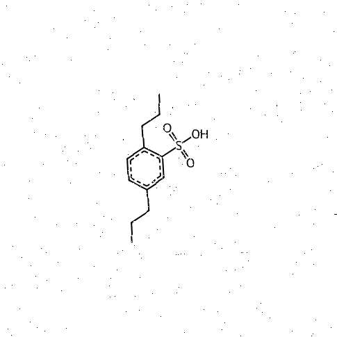 CCCc1ccc(CCC)c(S(=O)(=O)O)c1